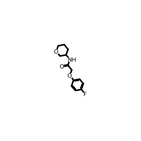 O=C(COc1ccc(F)cc1)NC1CCCOC1